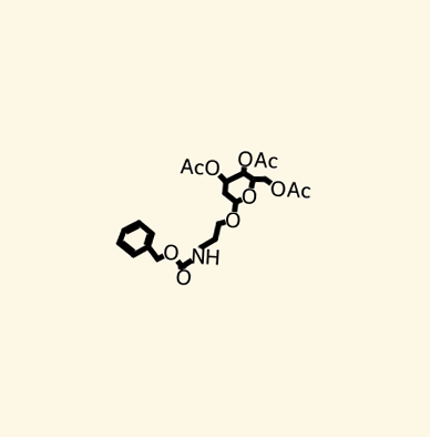 CC(=O)OCC1OC(OCCCNC(=O)OCc2ccccc2)CC(OC(C)=O)C1OC(C)=O